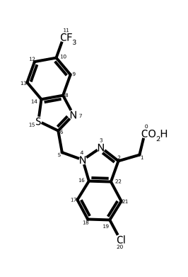 O=C(O)Cc1nn(Cc2nc3cc(C(F)(F)F)ccc3s2)c2ccc(Cl)cc12